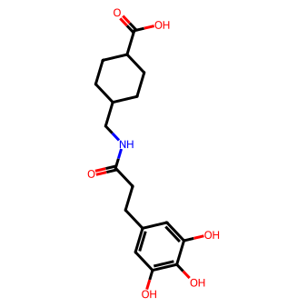 O=C(CCc1cc(O)c(O)c(O)c1)NCC1CCC(C(=O)O)CC1